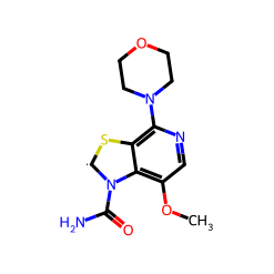 COc1cnc(N2CCOCC2)c2c1N(C(N)=O)[CH]S2